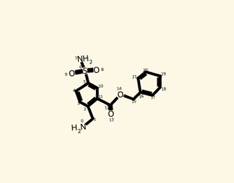 NCc1ccc(S(N)(=O)=O)cc1C(=O)OCc1ccccc1